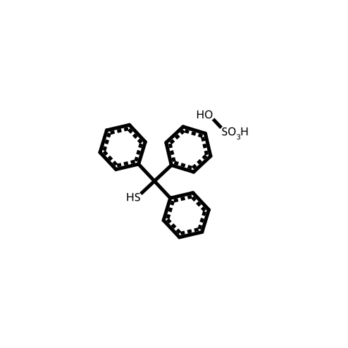 O=S(=O)(O)O.SC(c1ccccc1)(c1ccccc1)c1ccccc1